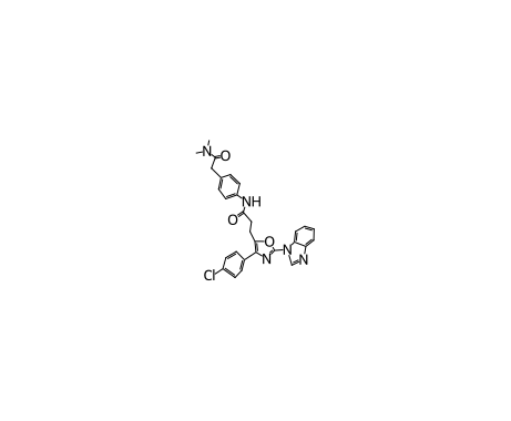 CN(C)C(=O)Cc1ccc(NC(=O)CCc2oc(-n3cnc4ccccc43)nc2-c2ccc(Cl)cc2)cc1